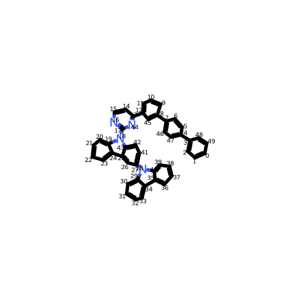 c1ccc(-c2ccc(-c3cccc(-c4ccnc(-n5c6ccccc6c6cc(-n7c8ccccc8c8ccccc87)ccc65)n4)c3)cc2)cc1